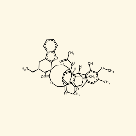 COc1c(C)cc2c(c1O)[C@H]1[C@@H]3[C@@H]4SC[C@]5(N[C@@H](CN)Cc6c5oc5ccccc65)C(=O)OC[C@@H](c5c6c(c(C)c(OC(C)=O)c54)OCO6)N3C(C)(C2)CN1C